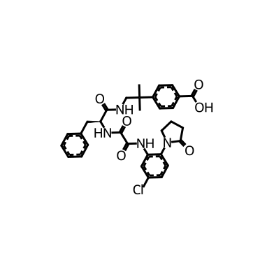 CC(C)(CNC(=O)[C@H](Cc1ccccc1)NC(=O)C(=O)Nc1cc(Cl)ccc1N1CCCC1=O)c1ccc(C(=O)O)cc1